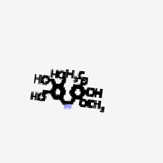 COc1ccc(/C=C\c2cc(CO)c(CO)c(CO)c2)c(OC)c1O